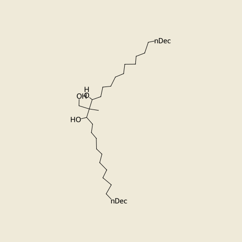 CCCCCCCCCCCCCCCCCCCCC(O)C(C)(CO)C(O)CCCCCCCCCCCCCCCCCCCC